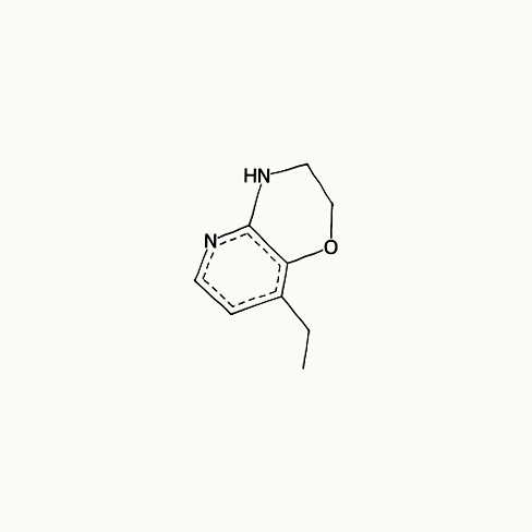 CCc1ccnc2c1OCCN2